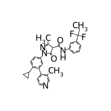 CCC(F)(F)c1cccc(NC(=O)C2C(=O)N(c3ccc(C4CC4)c(-c4ccncc4C)c3)N=C2C)c1